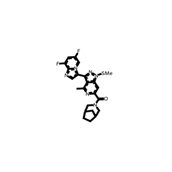 CSn1nc(-c2cnc3c(F)cc(F)cn23)c2c(C)nc(C(=O)N3CC4CCC(C4)C3)cc21